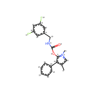 Cc1cn(C)c(OC(=O)NCc2cc(F)cc(F)c2)c1-c1ccccc1